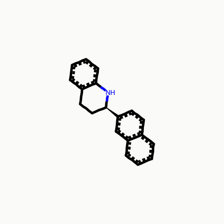 c1ccc2c(c1)CC[C@H](c1ccc3ccccc3c1)N2